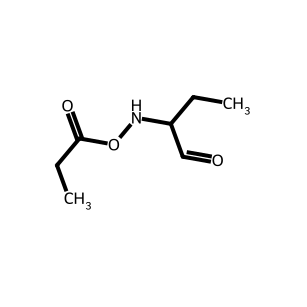 CCC(=O)ONC(C=O)CC